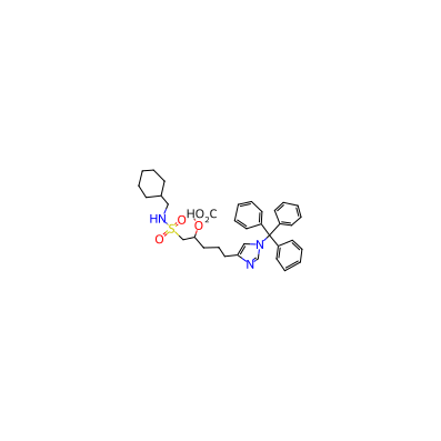 O=C(O)OC(CCCc1cn(C(c2ccccc2)(c2ccccc2)c2ccccc2)cn1)CS(=O)(=O)NCC1CCCCC1